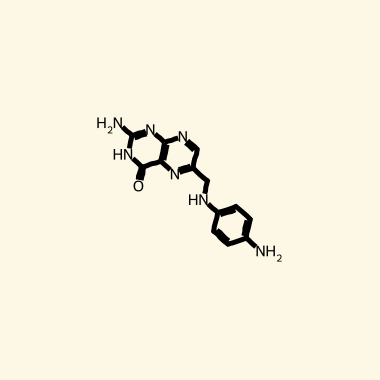 Nc1ccc(NCc2cnc3nc(N)[nH]c(=O)c3n2)cc1